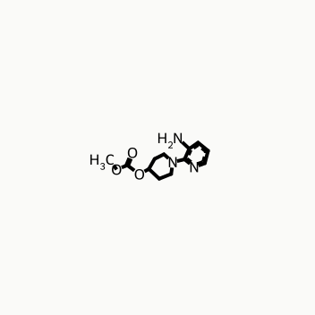 COC(=O)OC1CCN(c2ncccc2N)CC1